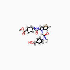 CCN(C(=O)Cn1c(C(=O)N[C@H]2CC[C@H](C(=O)OC)CC2)cc2sccc21)c1ccc(CO)cc1